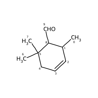 CC1C=CCC(C)(C)C1C=O